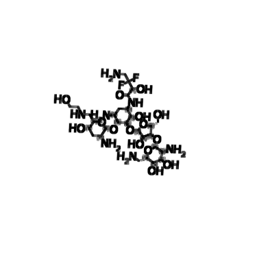 NC[C@@H]1O[C@H](O[C@H]2[C@@H](O)[C@H](O[C@@H]3[C@@H](O)[C@H](NC(=O)[C@@H](O)C(F)(F)CN)C[C@H](N)[C@H]3O[C@H]3O[C@H](CNCCO)[C@@H](O)C[C@H]3N)O[C@@H]2CO)[C@H](N)[C@@H](O)[C@@H]1O